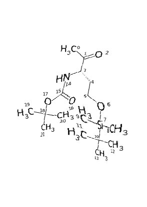 CC(=O)[C@H](CCO[Si](C)(C)C(C)(C)C)NC(=O)OC(C)(C)C